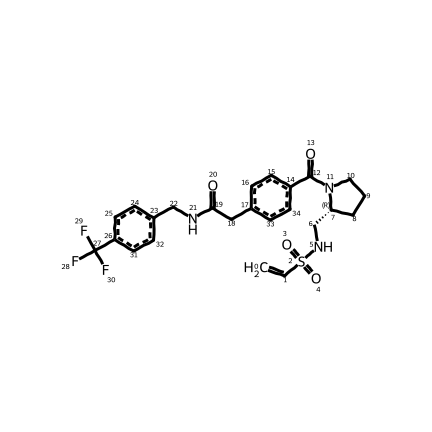 C=CS(=O)(=O)NC[C@H]1CCCN1C(=O)c1ccc(CC(=O)NCc2ccc(C(F)(F)F)cc2)cc1